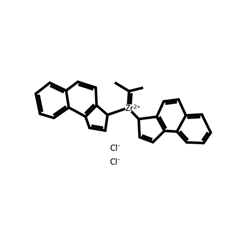 C[C](C)=[Zr+2]([CH]1C=Cc2c1ccc1ccccc21)[CH]1C=Cc2c1ccc1ccccc21.[Cl-].[Cl-]